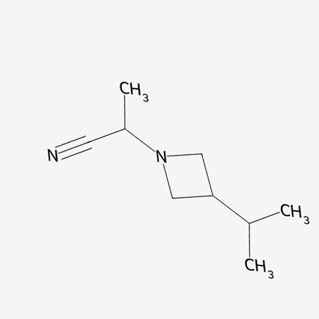 CC(C)C1CN(C(C)C#N)C1